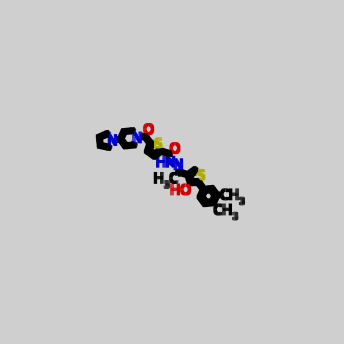 C/C(=N\NC(=O)c1ccc(C(=O)N2CCC(N3CCCC3)CC2)s1)c1csc(-c2ccc(C)c(C)c2)c1O